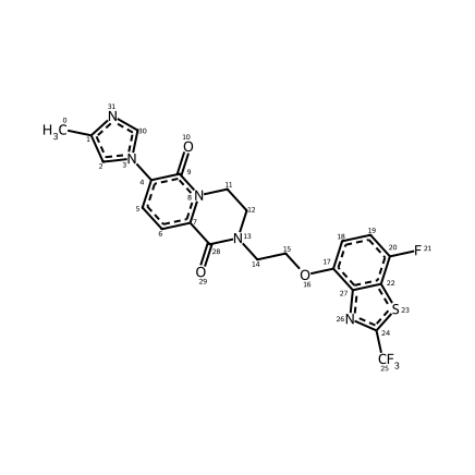 Cc1cn(-c2ccc3n(c2=O)CCN(CCOc2ccc(F)c4sc(C(F)(F)F)nc24)C3=O)cn1